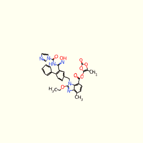 CCOc1nc2c(C)ccc(C(=O)Oc3oc(=O)oc3C)c2n1Cc1ccc(-c2ccccc2)c(C(=NO)NC(=O)n2ccnc2)c1